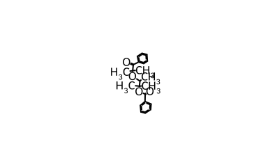 CC(OC(C)(C)C(=O)c1ccccc1)C(C)(C)OC(=O)c1ccccc1